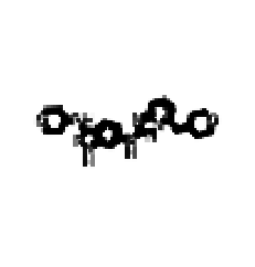 c1cc(CC2CCOCC2)n2nc(Nc3ccc4c(NC5CCOCC5)n[nH]c4c3)nc2c1